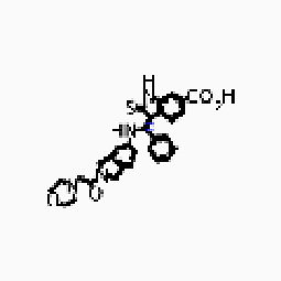 O=C(O)c1ccc2c(c1)NC(=S)/C2=C(\Nc1ccc2c(c1)CN(C(=O)CN1CCOCC1)C2)c1ccccc1